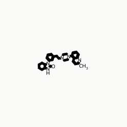 Cc1ccc2c(N3CCN(CCc4cccc(N5C(=O)NC6CCCCC65)c4)CC3)cccc2n1